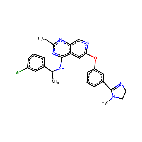 Cc1nc(NC(C)c2cccc(Br)c2)c2cc(Oc3cccc(C4=NCCN4C)c3)ncc2n1